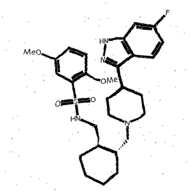 COc1ccc(OC)c(S(=O)(=O)NC[C@@H]2CCCC[C@H]2CN2CCC(c3n[nH]c4cc(F)ccc34)CC2)c1